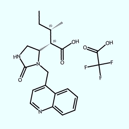 CC[C@H](C)[C@H](C(=O)O)C1CNC(=O)N1Cc1ccnc2ccccc12.O=C(O)C(F)(F)F